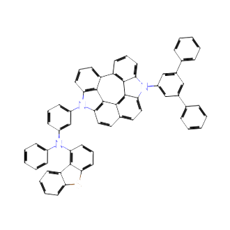 c1ccc(-c2cc(-c3ccccc3)cc(-n3c4cccc5c4c4c6c(ccc43)ccc3c6c4c-5cccc4n3-c3cccc(N(c4ccccc4)c4cccc5sc6ccccc6c45)c3)c2)cc1